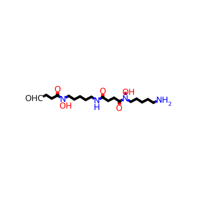 NCCCCCN(O)C(=O)CCC(=O)NCCCCCN(O)C(=O)CCC=O